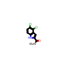 CNC(=O)c1cc2c(Cl)c(Cl)ccc2[nH]1